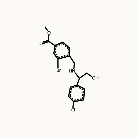 COC(=O)c1ccc(CNC(CO)c2ccc(Cl)cc2)c(Br)c1